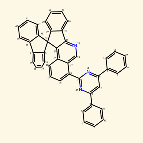 c1ccc(-c2cc(-c3ccccc3)nc(-c3cccc4c5c(ncc34)-c3ccccc3C53c4ccccc4-c4ccccc43)n2)cc1